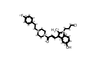 Cc1c(C=CC(=O)N2CCN(CCc3ccc(F)cc3)CC2)c2cc(O)ccc2n1CCCCl